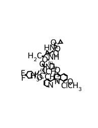 C=CC1C[C@]1(NC(=O)[C@@H]1C[C@@H](Oc2cc(-c3ccccn3)nc3c(Cl)c(OC)ccc23)CN1C(=O)[C@@H](CC(=O)N1CCC(F)(F)CC1)C(C)(C)C)C(=O)NS(=O)(=O)C1CC1